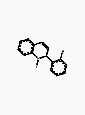 CC(C)c1ccccc1C1C=Cc2ccccc2N1I